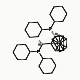 C[C@@H](P(C1CCCCC1)C1CCCCC1)[C]12[CH]3[CH]4[CH]5[C@@]1(P(C1CCCCC1)C1CCCCC1)[Fe]43521678[CH]2[CH]1[CH]6[CH]7[CH]28